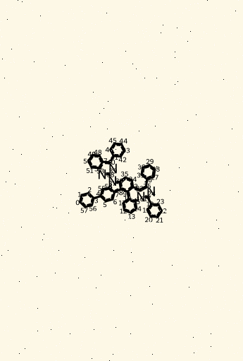 c1ccc(-c2ccc3c4c5c6ccccc6n6c(-c7ccccc7)nc(-c7ccccc7)c6c5ccc4n(-c4nc(-c5ccccc5)c5ccccc5n4)c3c2)cc1